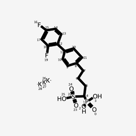 O=P(O)(O)C(CCCc1ccc(-c2ccc(F)cc2F)cc1)S(=O)(=O)O.[K].[K].[K]